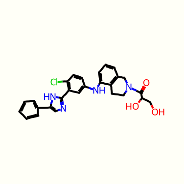 O=C(C(O)CO)N1CCc2c(cccc2Nc2ccc(Cl)c(-c3ncc(-c4ccccc4)[nH]3)c2)C1